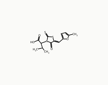 Cc1ccc(/C=C2\SC(=S)N(C(C(=O)O)C(C)C)C2=O)o1